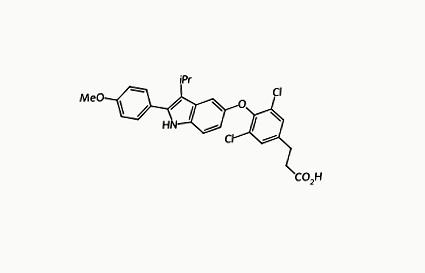 COc1ccc(-c2[nH]c3ccc(Oc4c(Cl)cc(CCC(=O)O)cc4Cl)cc3c2C(C)C)cc1